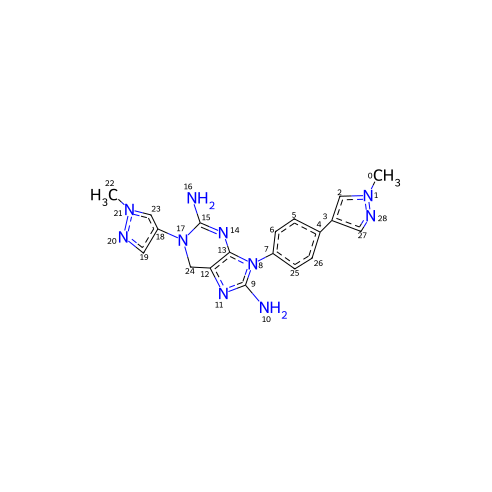 Cn1cc(-c2ccc(-n3c(N)nc4c3N=C(N)N(c3cnn(C)c3)C4)cc2)cn1